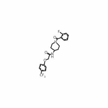 O=C(COc1ccc(C(F)(F)F)cc1)NC1CCN(C(=O)c2ccccc2F)CC1